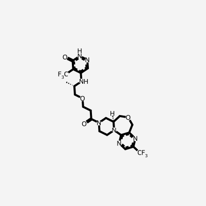 C[C@@H](COCCC(=O)N1CCN2c3ncc(C(F)(F)F)nc3COC[C@@H]2C1)Nc1cn[nH]c(=O)c1C(F)(F)F